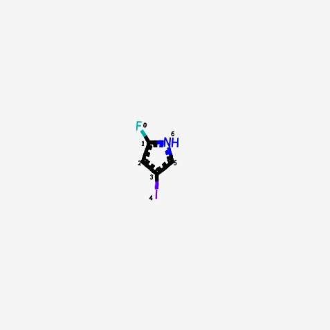 Fc1cc(I)c[nH]1